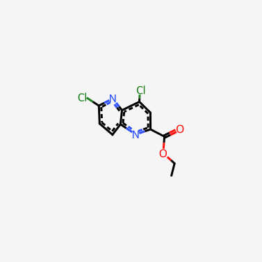 CCOC(=O)c1cc(Cl)c2nc(Cl)ccc2n1